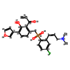 CCN(CC)C/C=C\c1cc(F)ccc1S(=O)(=O)Cc1ccc(-c2ccoc2)c(O)c1C(=O)OC